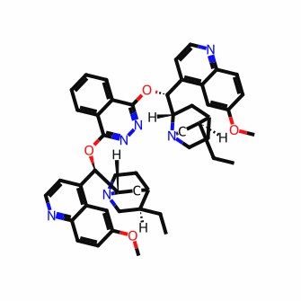 CC[C@H]1CN2CCC1C[C@H]2[C@H](Oc1nnc(O[C@H](c2ccnc3ccc(OC)cc23)[C@@H]2CC3CCN2C[C@@H]3CC)c2ccccc12)c1ccnc2ccc(OC)cc12